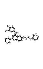 Fc1ccc(Nc2nc(-c3cccnc3)nc3ccc(OCCCN4CCOCC4)cc23)cc1Cl